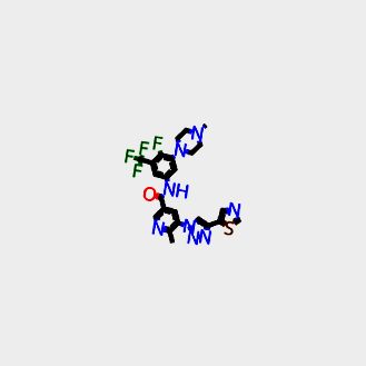 Cc1ncc(C(=O)Nc2cc(N3CCN(C)CC3)c(F)c(C(F)(F)F)c2)cc1-n1cc(-c2cncs2)nn1